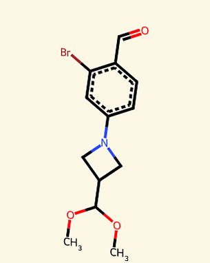 COC(OC)C1CN(c2ccc(C=O)c(Br)c2)C1